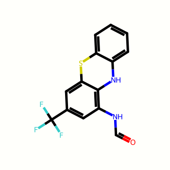 O=CNc1cc(C(F)(F)F)cc2c1Nc1ccccc1S2